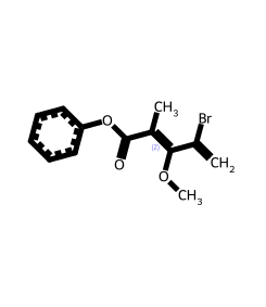 C=C(Br)/C(OC)=C(\C)C(=O)Oc1ccccc1